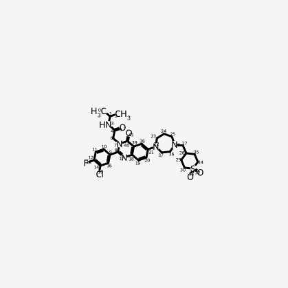 CC(C)NC(=O)Cn1c(-c2ccc(F)c(Cl)c2)nc2ccc(N3CCCN(CC4CCS(=O)(=O)CC4)CC3)cc2c1=O